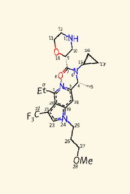 CCc1nc([C@@H](C)N(C(=O)[C@H]2CNCCO2)C2CC2)cc2c1c(C(F)(F)F)cn2CCCOC